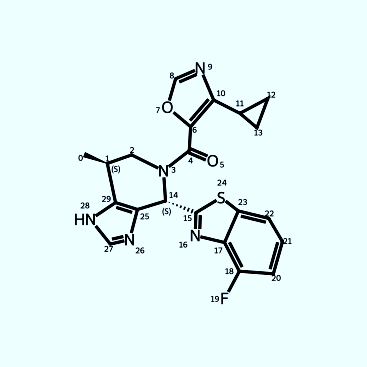 C[C@H]1CN(C(=O)c2ocnc2C2CC2)[C@H](c2nc3c(F)cccc3s2)c2nc[nH]c21